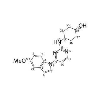 COc1ccc2c(ccn2-c2ccnc(NC3CCC(O)CC3)n2)c1